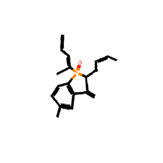 C=C/C=C(\C)P1(=O)c2ccc(C)cc2C(=C)C1C/C=C\C